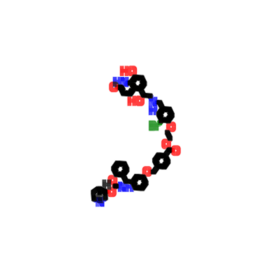 O=C(NC(c1ccccc1)c1cccc(OCc2ccc(C(=O)OCCOc3ccc(CNCC(O)c4ccc(O)c5[nH]c(=O)ccc45)cc3Br)cc2)c1)O[C@H]1CN2CCC1CC2